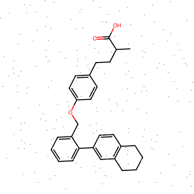 CC(CCc1ccc(OCc2ccccc2-c2ccc3c(c2)CCCC3)cc1)C(=O)O